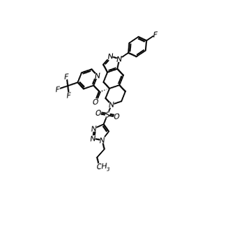 CCCn1cc(S(=O)(=O)N2CCC3=Cc4c(cnn4-c4ccc(F)cc4)C[C@]3(C(=O)c3cc(C(F)(F)F)ccn3)C2)nn1